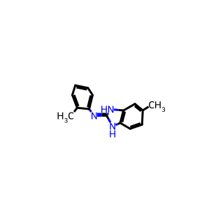 Cc1ccc2[nH]/c(=N/c3ccccc3C)[nH]c2c1